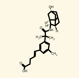 Cc1cc(/C=C/CCC(=O)O)cc(C(C)(C)C(=O)N[C@H]2[C@@H]3CC4C[C@H]2C[C@](O)(C4)C3)c1